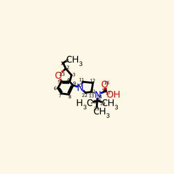 CCC1Cc2c(cccc2N2CC[C@H](N(C(=O)O)C(C)(C)C)C2)O1